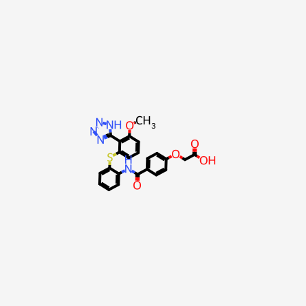 COc1cccc(Sc2ccccc2NC(=O)c2ccc(OCC(=O)O)cc2)c1-c1nnn[nH]1